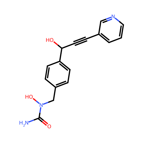 NC(=O)N(O)Cc1ccc(C(O)C#Cc2cccnc2)cc1